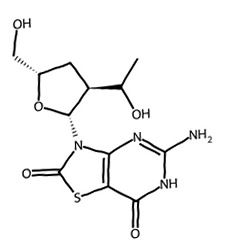 CC(O)[C@@H]1C[C@@H](CO)O[C@H]1n1c(=O)sc2c(=O)[nH]c(N)nc21